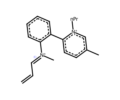 C=C/C=[N+](\C)c1ccccc1-c1ccc(C)c[n+]1CCC